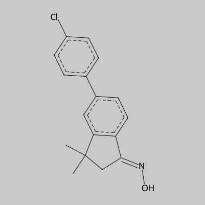 CC1(C)CC(=NO)c2ccc(-c3ccc(Cl)cc3)cc21